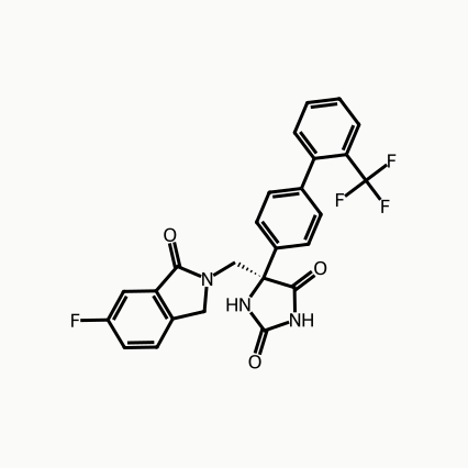 O=C1NC(=O)[C@](CN2Cc3ccc(F)cc3C2=O)(c2ccc(-c3ccccc3C(F)(F)F)cc2)N1